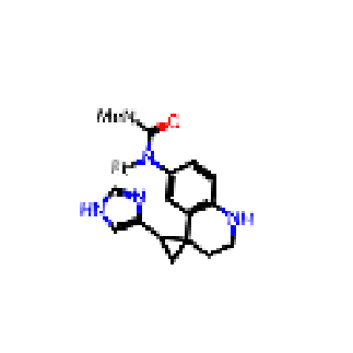 CCN(C(=O)NC)c1ccc2c(c1)C1(CCN2)CC1c1c[nH]cn1